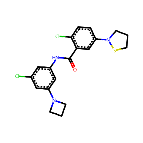 O=C(Nc1cc(Cl)cc(N2CCC2)c1)c1cc(N2CCCS2)ccc1Cl